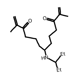 C=C(C)C(=O)CCCC(CCCC(=O)C(=C)C)NC(CC)CC